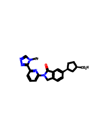 CC(C)n1cnnc1-c1cccc(N2Cc3ccc([C@H]4CC[C@@H](C(=O)O)C4)cc3C2=O)n1